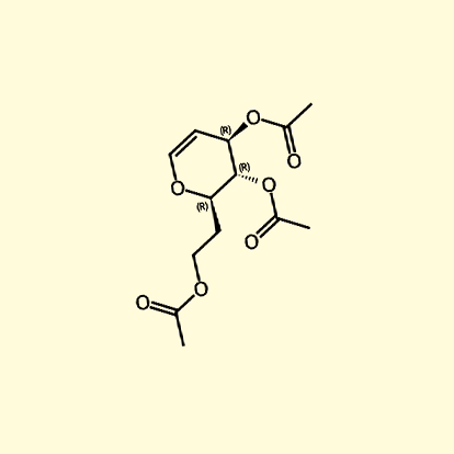 CC(=O)OCC[C@H]1OC=C[C@@H](OC(C)=O)[C@@H]1OC(C)=O